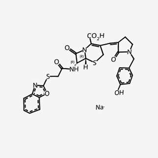 O=C(CSc1nc2ccccc2o1)N[C@@H]1C(=O)N2C(C(=O)O)=C(C=C3CCN(Cc4ccc(O)cc4)C3=O)CS[C@H]12.[Na]